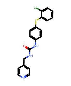 O=C(NCc1ccncc1)Nc1ccc(Sc2ccccc2Cl)cc1